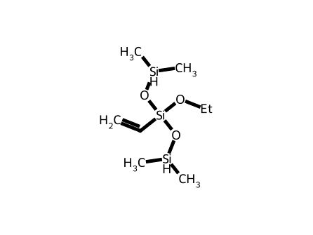 C=C[Si](OCC)(O[SiH](C)C)O[SiH](C)C